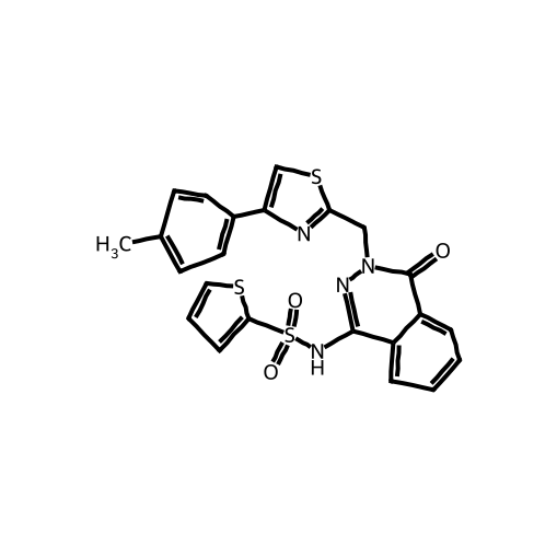 Cc1ccc(-c2csc(Cn3nc(NS(=O)(=O)c4cccs4)c4ccccc4c3=O)n2)cc1